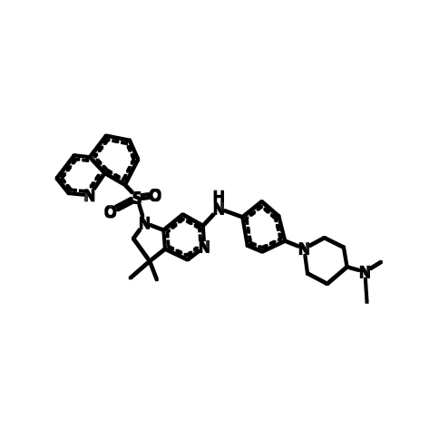 CN(C)C1CCN(c2ccc(Nc3cc4c(cn3)C(C)(C)CN4S(=O)(=O)c3cccc4cccnc34)cc2)CC1